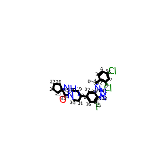 C[C@H](c1ccc(Cl)cc1Cl)n1nnc2c(F)cc(C3=CCN(C(=O)C4(N)CCCC4)CC3)cc21